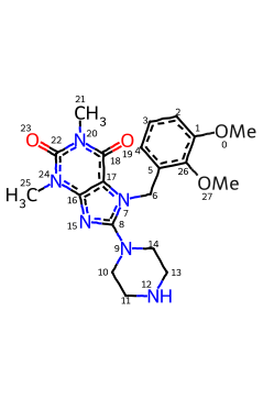 COc1cccc(Cn2c(N3CCNCC3)nc3c2c(=O)n(C)c(=O)n3C)c1OC